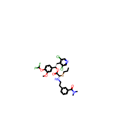 CCCS[C@H](NCCc1cccc(C(=O)N(C)C)c1)C(=O)O[C@@H](Cc1c(Cl)cncc1Cl)c1ccc(OC(F)F)c(OC)c1